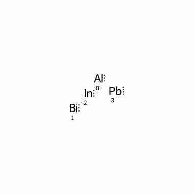 [Al].[Bi].[In].[Pb]